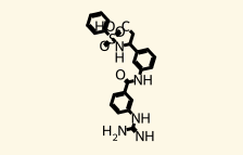 N=C(N)Nc1cccc(C(=O)Nc2cccc(C(CC(=O)O)NS(=O)(=O)c3ccccc3)c2)c1